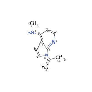 CNc1ccnc2c1ccn2C(C)C